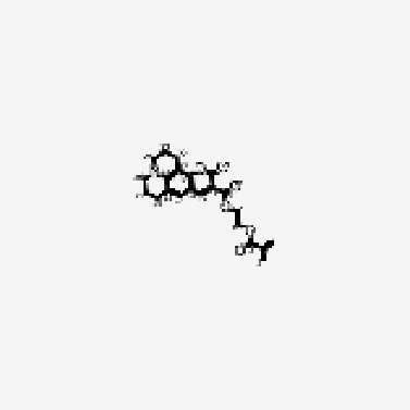 C=C(C)C(=O)OCCOC(=O)c1cc2cc3c4c(c2oc1=O)CCCN4CCC3